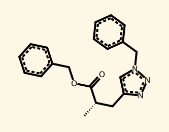 C[C@@H](Cc1cn(Cc2ccccc2)nn1)C(=O)OCc1ccccc1